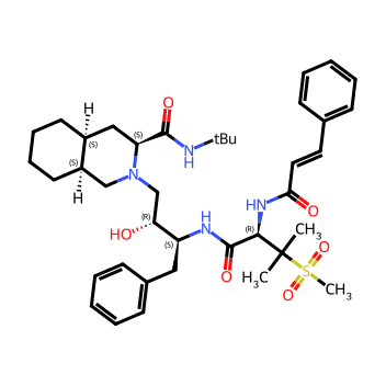 CC(C)(C)NC(=O)[C@@H]1C[C@@H]2CCCC[C@@H]2CN1C[C@@H](O)[C@H](Cc1ccccc1)NC(=O)[C@@H](NC(=O)C=Cc1ccccc1)C(C)(C)S(C)(=O)=O